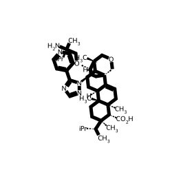 CC(C)[C@@H](C)[C@@]1(C)CC[C@]2(C)[C@H]3CC[C@@H]4[C@@]5(COC[C@@]4(C)[C@@H](OC[C@@](C)(N)C(C)C)[C@H](n4ncnc4-c4ccncc4)C5)C3=CC[C@@]2(C)[C@@H]1C(=O)O